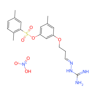 Cc1cc(OCCC=NNC(=N)N)cc(OS(=O)(=O)c2cc(C)ccc2C)c1.O=[N+]([O-])O